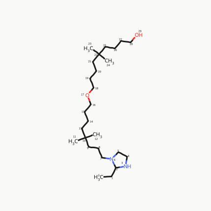 CCC1NCCN1CCCC(C)(C)CCCCOCCCCC(C)(C)CCCCO